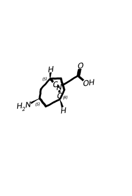 N[C@@H]1C[C@H]2CC[C@@H](C1)CN(C(=O)O)C2